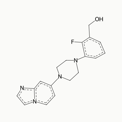 OCc1cccc(N2CCN(c3ccn4ccnc4c3)CC2)c1F